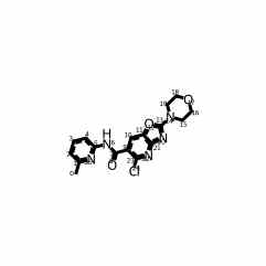 Cc1cccc(NC(=O)c2cc3oc(N4CCOCC4)nc3nc2Cl)n1